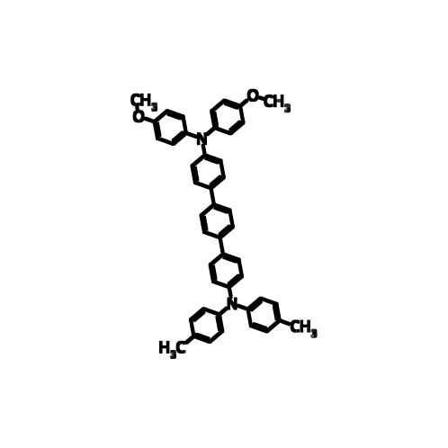 COc1ccc(N(c2ccc(OC)cc2)c2ccc(-c3ccc(-c4ccc(N(c5ccc(C)cc5)c5ccc(C)cc5)cc4)cc3)cc2)cc1